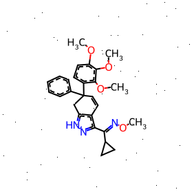 CON=C(c1n[nH]c2c1C=CC(c1ccccc1)(c1ccc(OC)c(OC)c1OC)C2)C1CC1